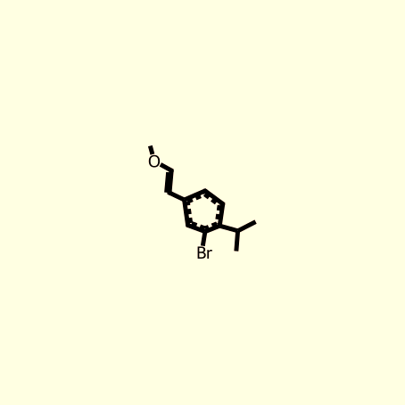 COC=Cc1ccc(C(C)C)c(Br)c1